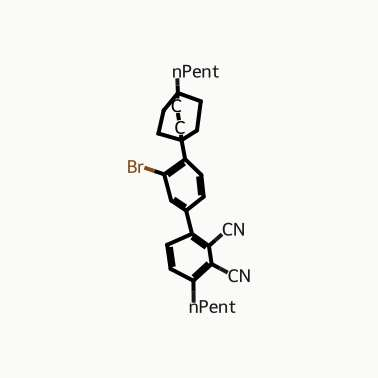 CCCCCc1ccc(-c2ccc(C34CCC(CCCCC)(CC3)CC4)c(Br)c2)c(C#N)c1C#N